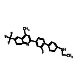 CCNc1ccc(-c2ccc(-c3cc(C)c4cc(C(F)(F)F)ccc4n3)cc2F)cc1